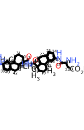 C[C@]1(C(=O)NC(=O)[C@@]2(C)CCC[C@]3(C)c4cc(NC(=O)[C@@H](N)CC(=O)O)ccc4CC[C@@H]23)CCC[C@]2(C)c3cc(N)ccc3CC[C@@H]12